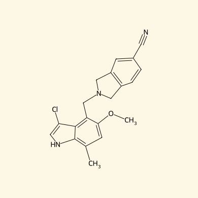 COc1cc(C)c2[nH]cc(Cl)c2c1CN1Cc2ccc(C#N)cc2C1